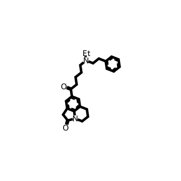 CCN(CCCCC(=O)c1cc2c3c(c1)CC(=O)N3CCC2)CCc1ccccc1